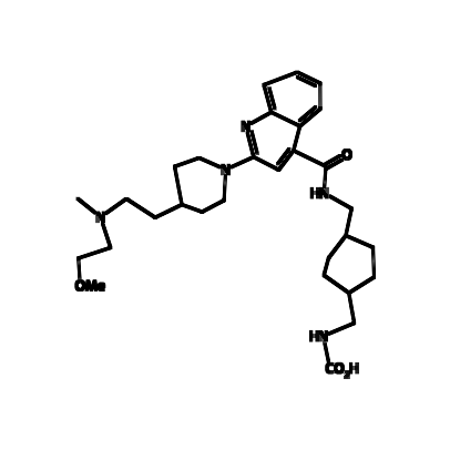 COCCN(C)CCC1CCN(c2cc(C(=O)NCC3CCC(CNC(=O)O)CC3)c3ccccc3n2)CC1